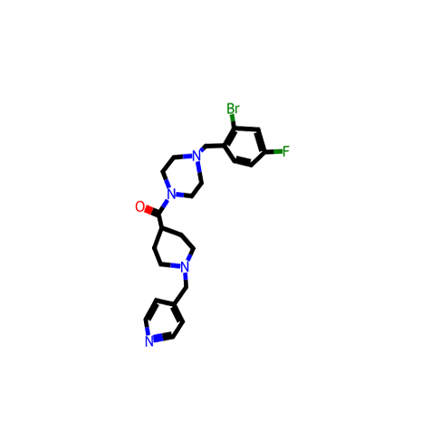 O=C(C1CCN(Cc2ccncc2)CC1)N1CCN(Cc2ccc(F)cc2Br)CC1